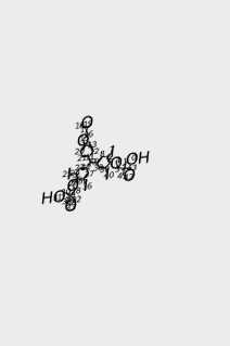 OCC1(COc2c(I)cc(C(c3ccc(OCC4CO4)cc3)c3cc(I)c(OCC4(CO)COC4)c(I)c3)cc2I)COC1